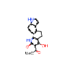 COC(=O)c1c(O)c2c([nH]c1=O)-c1ccc3[nH]ccc3c1CC2